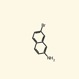 Nc1ccc2ccc(Br)cc2c1